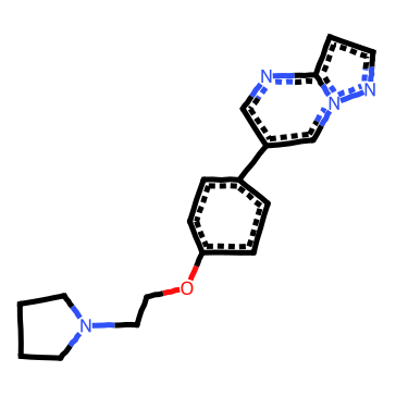 c1cc2ncc(-c3ccc(OCCN4CCCC4)cc3)cn2n1